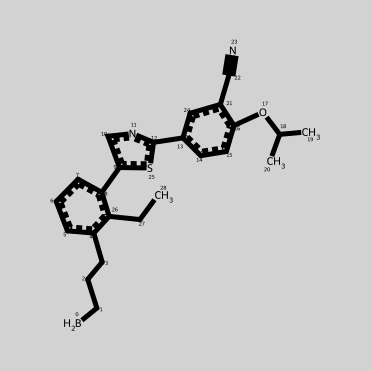 BCCCc1cccc(-c2cnc(-c3ccc(OC(C)C)c(C#N)c3)s2)c1CC